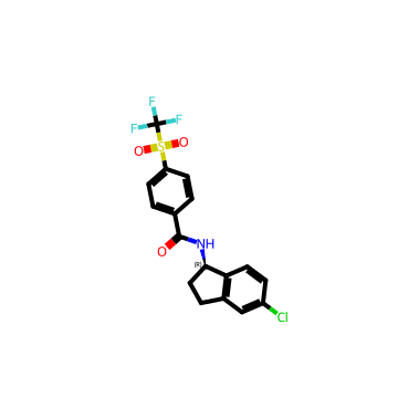 O=C(N[C@@H]1CCc2cc(Cl)ccc21)c1ccc(S(=O)(=O)C(F)(F)F)cc1